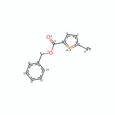 CC(C)c1ccc(C(=O)OCc2ccccc2)s1